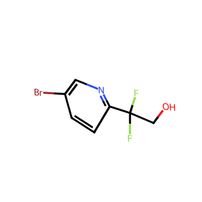 OCC(F)(F)c1ccc(Br)cn1